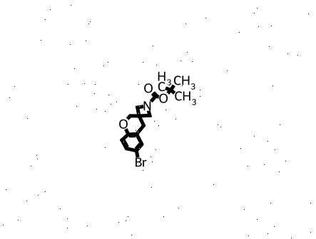 CC(C)(C)OC(=O)N1CC2(COc3ccc(Br)cc3C2)C1